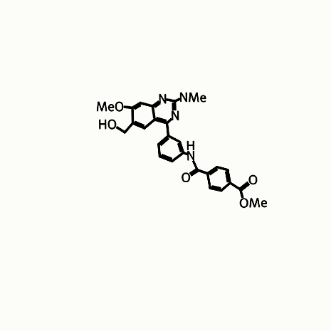 CNc1nc(-c2cccc(NC(=O)c3ccc(C(=O)OC)cc3)c2)c2cc(CO)c(OC)cc2n1